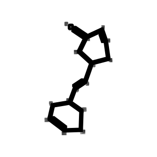 O=C1C=CCC(/C=C/C2CC=CCC2)C1